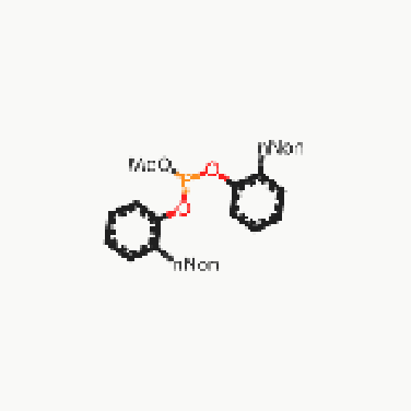 CCCCCCCCCc1ccccc1OP(OC)Oc1ccccc1CCCCCCCCC